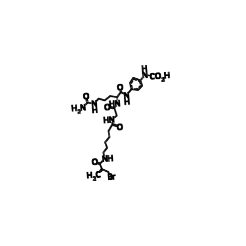 C=C(CBr)C(=O)NCCCCCC(=O)NCC(=O)NC(CCCNC(N)=O)C(=O)Nc1ccc(NC(=O)O)cc1